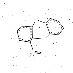 O=[N+]([O-])c1cccc2c1Sc1ccccc1N2